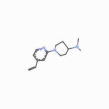 C=Cc1ccnc(N2CCC(N(C)C)CC2)c1